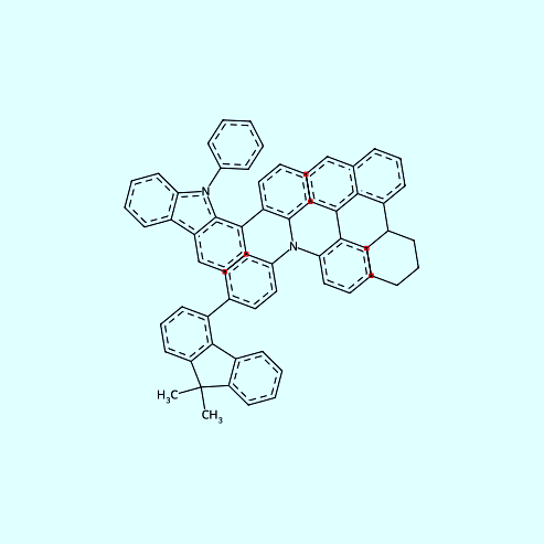 CC1(C)c2ccccc2-c2c(-c3ccc(N(c4ccccc4-c4cccc5cccc(C6CCCCC6)c45)c4ccccc4-c4cccc5c6ccccc6n(-c6ccccc6)c45)cc3)cccc21